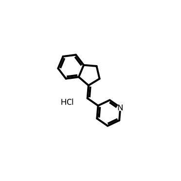 C(=C1CCc2ccccc21)c1cccnc1.Cl